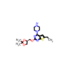 CCc1cc2c(N3CCNCC3)nc(OC[C@H]3COC(C)(C)O3)nc2s1